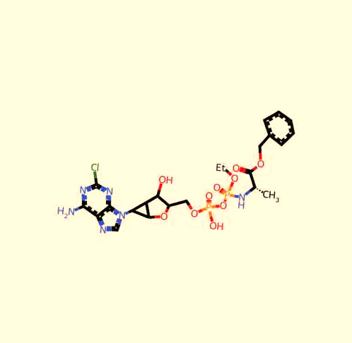 CCOP(=O)(N[C@@H](C)C(=O)OCc1ccccc1)OP(=O)(O)OCC1OC2C(C1O)C2n1cnc2c(N)nc(Cl)nc21